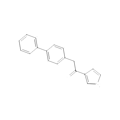 O=C(Cc1ccc(-c2ccccc2)cc1)c1cc[nH]c1